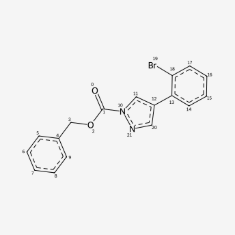 O=C(OCc1ccccc1)n1cc(-c2ccccc2Br)cn1